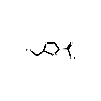 O=C(O)[C@@H]1CSC(CO)N1